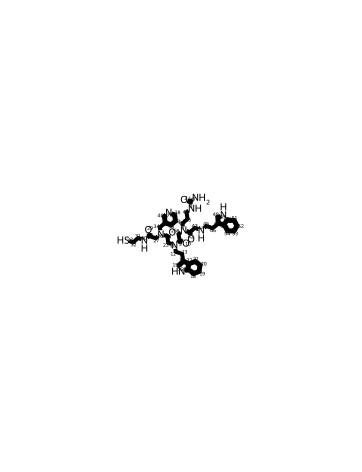 NC(=O)NCCCN(CC(=O)N(CCc1c[nH]c2ccccc12)CC(=O)N(CC(=O)NCCS)Cc1cccnc1)C(=O)CNCCc1c[nH]c2ccccc12